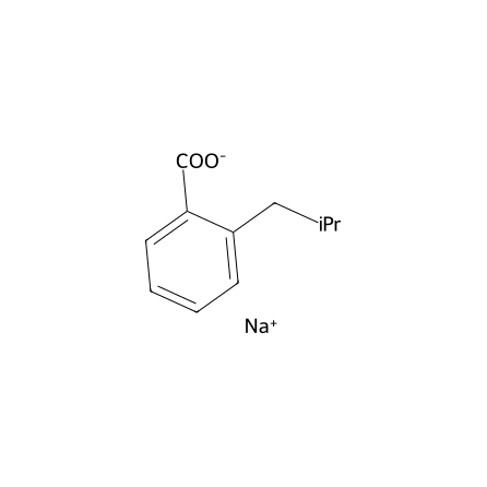 CC(C)Cc1ccccc1C(=O)[O-].[Na+]